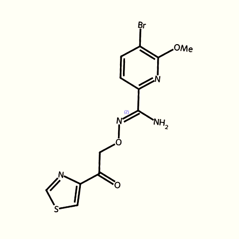 COc1nc(/C(N)=N/OCC(=O)c2cscn2)ccc1Br